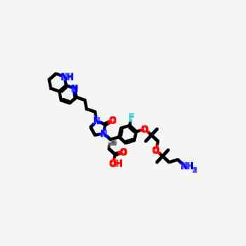 CC(C)(CCN)OCC(C)(C)Oc1ccc([C@H](CC(=O)O)N2CCN(CCCc3ccc4c(n3)NCCC4)C2=O)cc1F